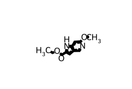 CCOC(=O)c1cc2cnc(OC)cc2[nH]1